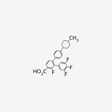 CC1CCC(c2ccc(-c3ccc(C(=O)O)c(F)c3-c3cc(F)c(F)c(F)c3)cc2)CC1